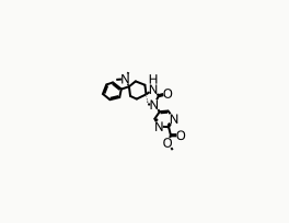 COC(=O)c1ncc(N2C[C@]3(CC[C@](c4ccccc4)(N(C)C)CC3)NC2=O)cn1